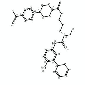 C=C(CCCC[C@H](CC)C(=O)Nc1ccc(O)c(C2C=CC=CC2)c1)N1CCN(c2ccc(C(C)=O)cc2)CC1